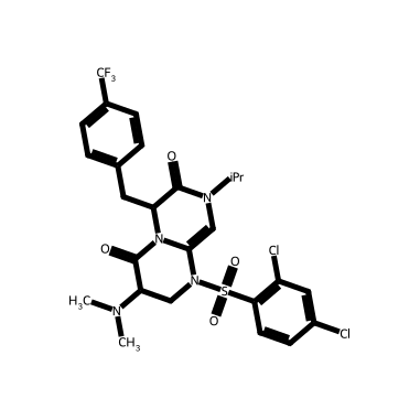 CC(C)N1C=C2N(C(=O)C(N(C)C)CN2S(=O)(=O)c2ccc(Cl)cc2Cl)C(Cc2ccc(C(F)(F)F)cc2)C1=O